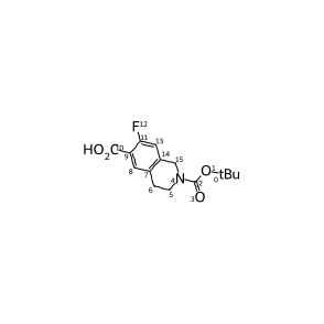 CC(C)(C)OC(=O)N1CCc2cc(C(=O)O)c(F)cc2C1